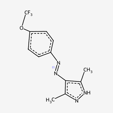 Cc1n[nH]c(C)c1/N=N/c1ccc(OC(F)(F)F)cc1